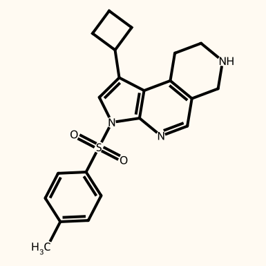 Cc1ccc(S(=O)(=O)n2cc(C3CCC3)c3c4c(cnc32)CNCC4)cc1